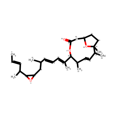 C/C=C/C(C)C1OC1CC(C)/C=C/C=C(\C)C1OC(=O)CC2CCC(C)(O2)C(OC(C)=O)/C=C/C1C